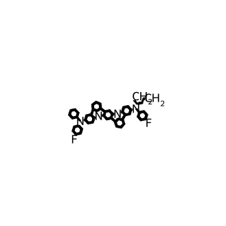 C=C/C=C(\C=C)N(c1ccc(F)cc1)c1ccc2c(c1)c1cccc3c4cc5c(cc4n2c13)c1cccc2c3cc(N(c4ccccc4)c4ccc(F)cc4)ccc3n5c21